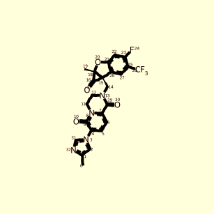 Cc1cn(-c2ccc3n(c2=O)CCN(C[C@@]24C(=O)[C@]2(C)Oc2cc(F)c(C(F)(F)F)cc24)C3=O)cn1